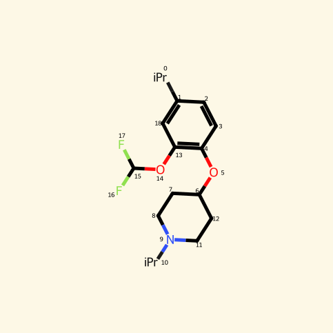 CC(C)c1ccc(OC2CCN(C(C)C)CC2)c(OC(F)F)c1